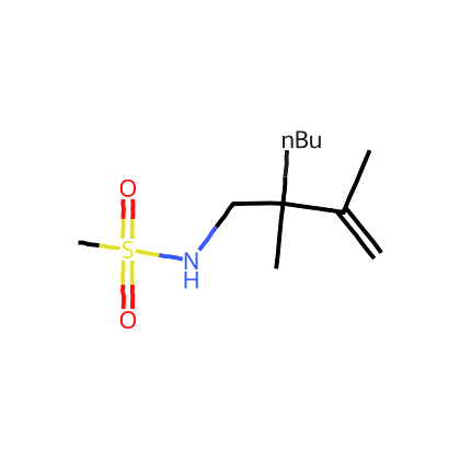 C=C(C)C(C)(CCCC)CNS(C)(=O)=O